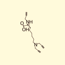 C#CCN[C@@H](CCCCCCN(CC#C)CC#C)C(=O)O